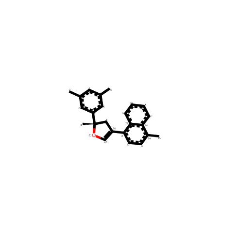 Cc1cc(C)cc([C@]2(C)CC(c3ccc(C)c4ccccc34)=CO2)c1